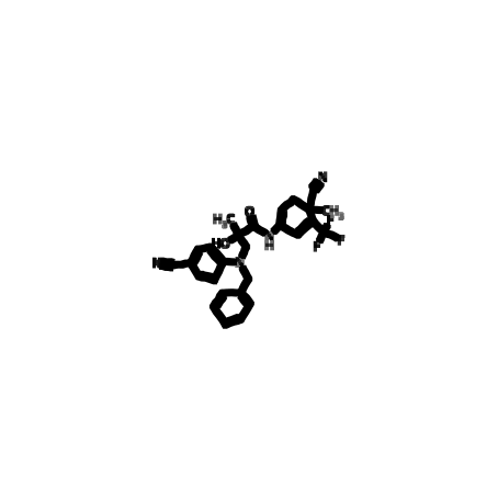 CC(O)(CN(Cc1ccccc1)c1ccc(C#N)cc1)C(=O)NC1=CCC(C)(C#N)C(C(F)(F)F)=C1